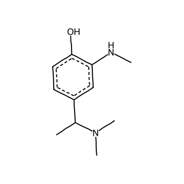 CNc1cc(C(C)N(C)C)ccc1O